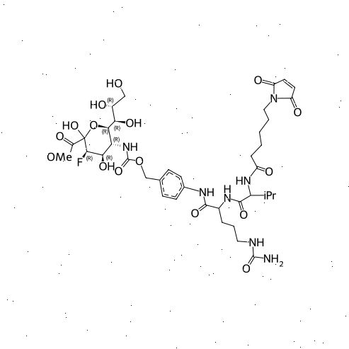 COC(=O)C1(O)O[C@@H]([C@H](O)[C@H](O)CO)[C@H](NC(=O)OCc2ccc(NC(=O)C(CCCNC(N)=O)NC(=O)C(NC(=O)CCCCCN3C(=O)C=CC3=O)C(C)C)cc2)[C@@H](O)[C@H]1F